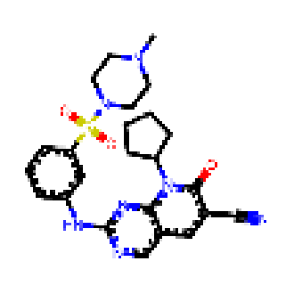 CN1CCN(S(=O)(=O)c2cccc(Nc3ncc4cc(C#N)c(=O)n(C5CCCC5)c4n3)c2)CC1